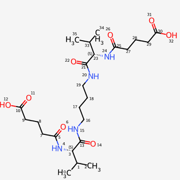 CC(C)[C@H](NC(=O)CCCC(=O)O)C(=O)NCCCCNC(=O)[C@@H](NC(=O)CCCC(=O)O)C(C)C